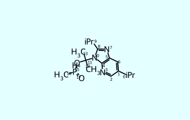 CC(C)c1cnc2c(c1)nc(C(C)C)n2C(C)(C)O[PH](C)=O